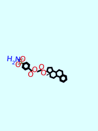 C[C@]12CCC3c4ccccc4CCC3C1CC[C@@H]2OC(=O)COC(=O)c1ccc(S(N)(=O)=O)cc1